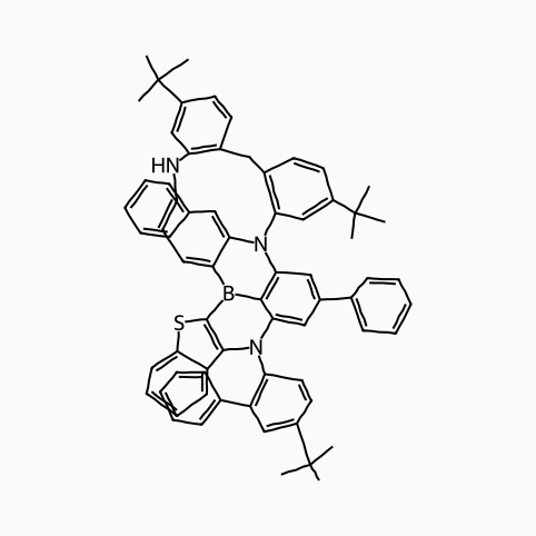 CC(C)(C)c1ccc2c(c1)N/C=C/C=C1/B3c4sc5ccccc5c4N(c4ccc(C(C)(C)C)cc4-c4ccccc4)c4cc(-c5ccccc5)cc(c43)N(/C1=C/c1ccccc1)c1cc(C(C)(C)C)ccc1C2